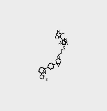 Cc1ncoc1-c1nnc(SCCCN2CC3CC3(c3ccc(-c4cccc(C(F)(F)F)n4)cc3)C2)n1C